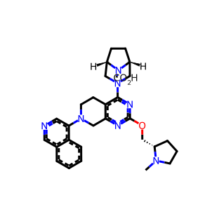 CN1CCC[C@H]1COc1nc2c(c(N3C[C@H]4CC[C@@H](C3)N4C(=O)O)n1)CCN(c1cncc3ccccc13)C2